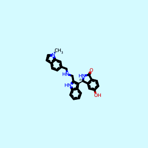 Cn1ccc2ccc(CNCc3[nH]c4ccccc4c3[C@H]3NC(=O)c4ccc(O)cc43)cc21